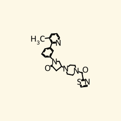 Cc1cccnc1-c1cccc(N2CC(N3CCN(C(=O)c4nccs4)CC3)CC2=O)c1